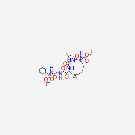 CC(C)COC(=O)N[C@H]1CCCCCC2(CC2)CC(C(=O)C(=O)NCC(=O)N[C@H](C(=O)OC(C)(C)C)c2ccccc2)NC(=O)[C@H](CC(C)C)NC1=O